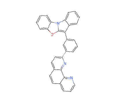 c1cc(-c2ccc3ccc4cccnc4c3n2)cc(-c2c3ccccc3n3c2oc2ccccc23)c1